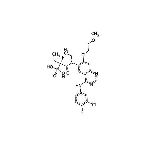 CCN(C(=O)C(F)(CC)P(=O)(O)O)c1cc2c(Nc3ccc(F)c(Cl)c3)ncnc2cc1OCCOC